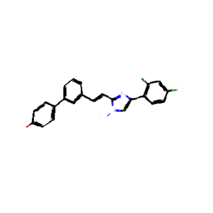 CCn1cc(-c2ccc(Cl)cc2Cl)nc1/C=C/c1cccc(-c2ccc(O)cc2)c1